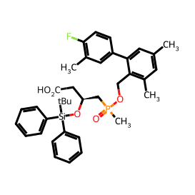 Cc1cc(C)c(COP(C)(=O)C[C@H](CC(=O)O)O[Si](c2ccccc2)(c2ccccc2)C(C)(C)C)c(-c2ccc(F)c(C)c2)c1